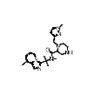 Cc1cccn2c(C(C)(C)NC(=O)C3CNCCN3Cc3ccn(C)n3)ncc12